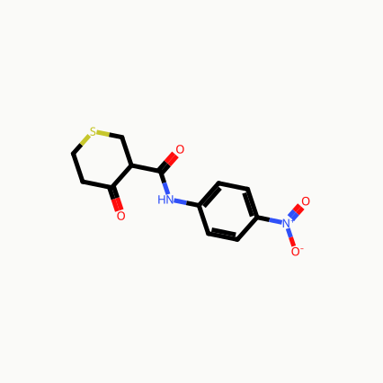 O=C1CCSCC1C(=O)Nc1ccc([N+](=O)[O-])cc1